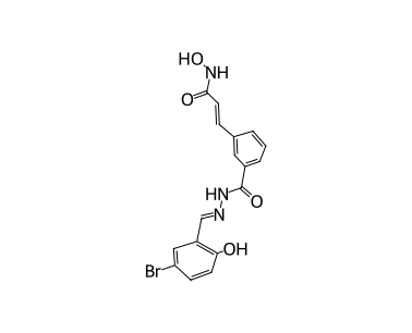 O=C(/C=C/c1cccc(C(=O)N/N=C/c2cc(Br)ccc2O)c1)NO